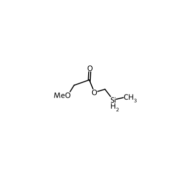 COCC(=O)OC[SiH2]C